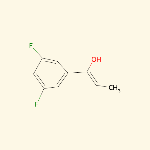 CC=C(O)c1cc(F)cc(F)c1